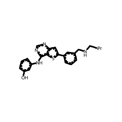 CC(C)CNCc1cccc(-c2cc3ncnc(Nc4cccc(O)c4)c3s2)c1